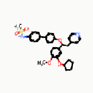 COc1ccc(C(Cc2ccncc2)Oc2ccc(-c3ccc(NS(C)(=O)=O)cc3)cc2)cc1OC1CCCC1